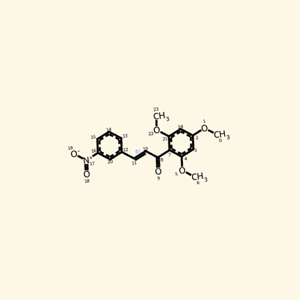 COc1cc(OC)c(C(=O)/C=C/c2cccc([N+](=O)[O-])c2)c(OC)c1